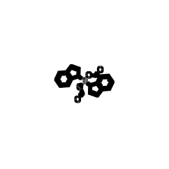 O=C[O][Ti]([O]C=O)([CH]1C=Cc2ccccc21)[CH]1C=Cc2ccccc21